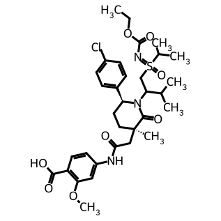 CCOC(=O)N=S(=O)(CC(C(C)C)N1C(=O)[C@@](C)(CC(=O)Nc2ccc(C(=O)O)c(OC)c2)CC[C@H]1c1ccc(Cl)cc1)C(C)C